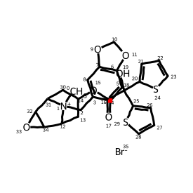 C[N+]1(Cc2ccc3c(c2)OCO3)C2CC(OC(=O)C(O)(c3cccs3)c3cccs3)CC1C1OC12.[Br-]